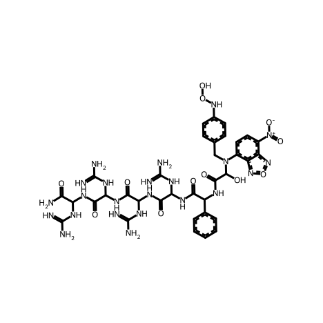 N=C(N)NC(NC(=O)C(NC(=N)N)NC(=O)C(NC(=N)N)NC(=O)C(NC(=N)N)NC(=O)C(NC(=O)C(O)N(Cc1ccc(NOO)cc1)c1ccc([N+](=O)[O-])c2nonc12)c1ccccc1)C(N)=O